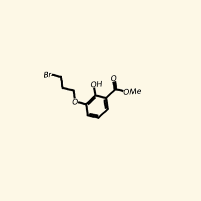 COC(=O)c1cccc(OCCCBr)c1O